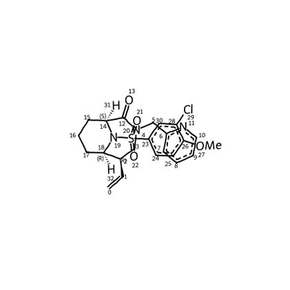 C=C[C@@H]1CN(Cc2ccccn2)C(=O)[C@@H]2CCC[C@H]1N2S(=O)(=O)c1ccc(OC)c(Cl)c1